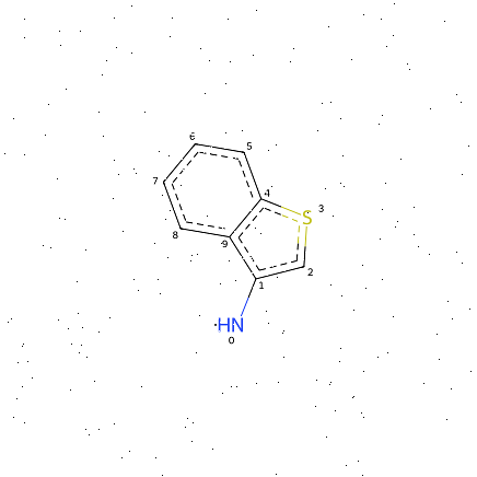 [NH]c1csc2ccccc12